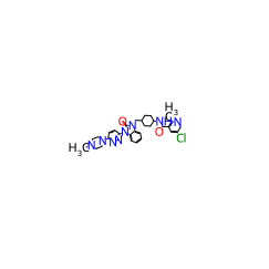 Cc1ncc(Cl)cc1C(=O)NC1CCC(Cn2c(=O)n(-c3ccc(N4CCN(C)CC4)nn3)c3ccccc32)CC1